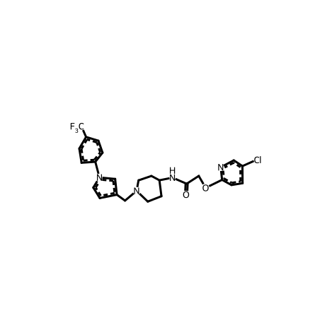 O=C(COc1ccc(Cl)cn1)NC1CCN(Cc2ccn(-c3ccc(C(F)(F)F)cc3)c2)CC1